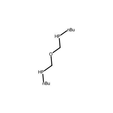 CCCCPCOCPCCCC